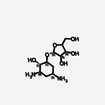 N[C@H]1C[C@@H](N)[C@H](O)[C@@H](O[C@@H]2OC(CO)[C@@H](O)[C@H]2O)C1